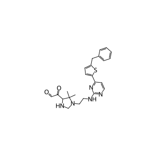 CC1(C)C(C(=O)C=O)NCN1CCNc1nccc(-c2ccc(Cc3ccccc3)s2)n1